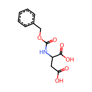 O=C(O)CC(NC(=O)OCc1ccccc1)C(=O)O